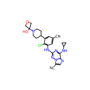 N#Cc1cc(Nc2nc(NC3CC3)c3ncc(C#N)n3n2)c(Cl)c(C2CCN(C3(O)COC3)CC2)c1